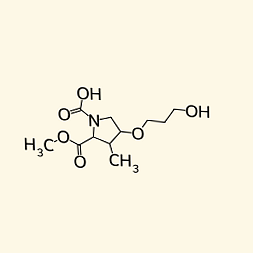 COC(=O)C1C(C)C(OCCCO)CN1C(=O)O